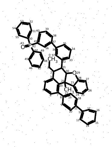 CCC1c2cccc(-c3ccc(-c4ccccc4)cc3)c2C2(C)c3ccccc3OC2C1c1cccc(-c2cccc(P(=O)(c3ccccc3)c3ccccc3)c2)c1